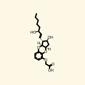 CCCCC[C@H](O)/C=C/[C@H]1[C@@H]2Oc3cccc(OCC(=O)O)c3O[C@@H]2C[C@@H]1O